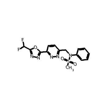 CS(=O)(=O)N(Cc1ccc(-c2nnc(C(F)F)o2)nn1)c1ccccc1